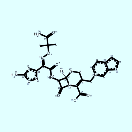 CC(C)(O/N=C(\C(=O)NC1C(=O)N2C(C(=O)[O-])=C(C[n+]3ccc4ccsc4c3)CS[C@H]12)c1noc(N)n1)C(N)=O